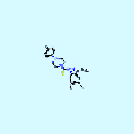 COc1cc(C)c(C)cc1NC(=S)N1CCN(c2ccc(C)cc2)CC1